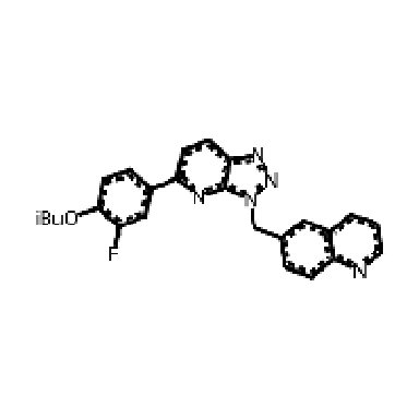 CC(C)COc1ccc(-c2ccc3nnn(Cc4ccc5ncccc5c4)c3n2)cc1F